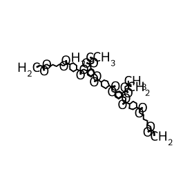 C=CC(=O)OCCCCOC(=O)C1CCC(C(=O)Oc2ccc(OC(=O)C3CCC(C(=O)Oc4ccc(OC(=O)C5CCC(C(=O)OCCCCOC(=O)C=C)CC5)c(C(=O)OC(=C)C)c4)CC3)cc2C(=O)OC(=C)C)CC1